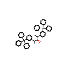 CC(C(=O)C(C)c1cccc(C(c2ccccc2)(c2ccccc2)c2ccccc2)c1)c1cccc(C(c2ccccc2)(c2ccccc2)c2ccccc2)c1